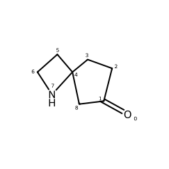 O=C1CCC2(CCN2)C1